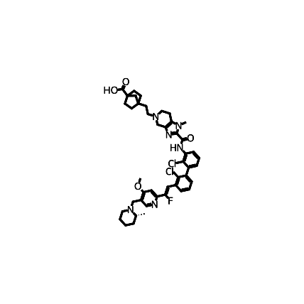 COc1cc(/C(F)=C/c2cccc(-c3cccc(NC(=O)c4nc5c(n4C)CCN(CCC46CCC(C(=O)O)(CC4)C6)C5)c3Cl)c2Cl)ncc1CN1CCCC[C@H]1C